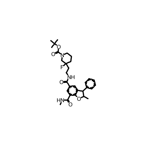 CNC(=O)c1cc(C(=O)NCCC2(F)CCCN(C(=O)OC(C)(C)C)C2)cc2c1OC(C)C2c1ccccc1